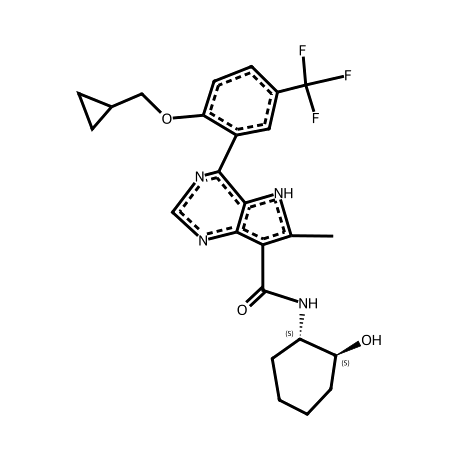 Cc1[nH]c2c(-c3cc(C(F)(F)F)ccc3OCC3CC3)ncnc2c1C(=O)N[C@H]1CCCC[C@@H]1O